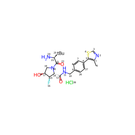 Cc1ncsc1-c1ccc(CNC(=O)[C@@H]2[C@@H](F)[C@@H](O)CN2C(=O)[C@@H](N)C(C)(C)C)cc1.Cl